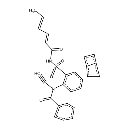 C#CN(C(=O)c1ccccc1)c1ccccc1S(=O)(=O)NC(=O)C=CC=CC.c1cc2ccc1-2